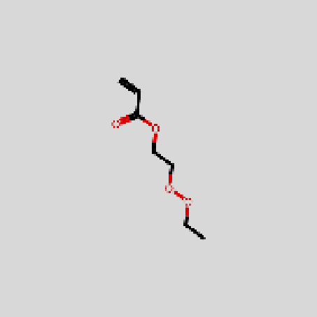 C=CC(=O)OCCOOCC